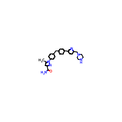 Cc1cc(C(N)=O)nn1-c1ccc(Cc2ccc(-c3ccc(CN4CCNCC4)nc3)cc2)cc1